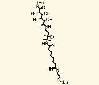 CCC(C)(CCNC(=O)[C@H](O)[C@@H](O)[C@@H](O)[C@H](O)C(=O)NC(C)(C)C)C(C)(C)NC(=N)CCCCCCC(=N)NCCNC(C)(C)C